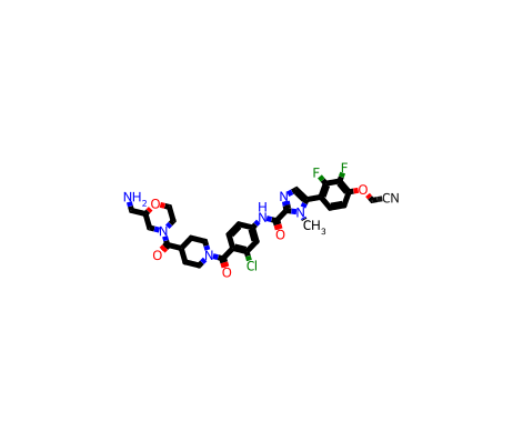 Cn1c(-c2ccc(OCC#N)c(F)c2F)cnc1C(=O)Nc1ccc(C(=O)N2CCC(C(=O)N3CCOC(CN)C3)CC2)c(Cl)c1